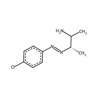 CC(N)[C@H](C)/N=N/c1ccc(Cl)cc1